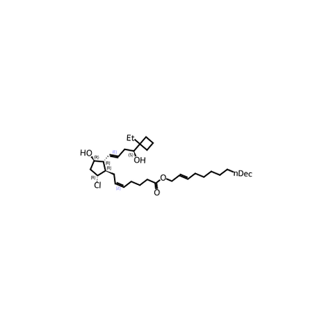 CCCCCCCCCCCCCCCC=CCOC(=O)CCC/C=C\C[C@@H]1[C@@H](/C=C/C[C@H](O)C2(CC)CCC2)[C@H](O)C[C@H]1Cl